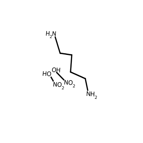 NCCCCN.O=[N+]([O-])O.O=[N+]([O-])O